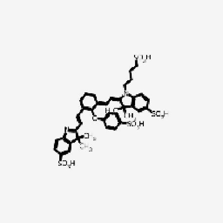 CC1(C)C(/C=C/C2=C(Oc3ccc(S(=O)(=O)O)cc3)C(=C/C=C3/N(CCCCS(=O)(=O)O)c4ccc(S(=O)(=O)O)cc4C3(C)C)/CCC2)=Nc2ccc(S(=O)(=O)O)cc21